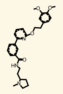 COc1ccc(CCOc2cccc(-c3cccc(C(=O)NCCC4CCCN4C)c3)n2)cc1OC